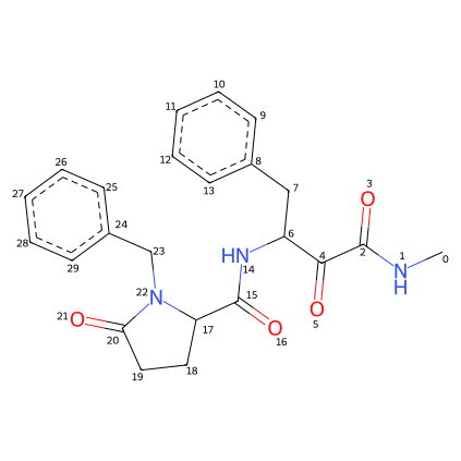 CNC(=O)C(=O)C(Cc1ccccc1)NC(=O)C1CCC(=O)N1Cc1ccccc1